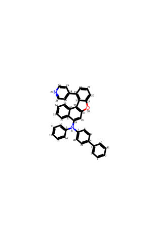 c1ccc(-c2ccc(N(c3ccccc3)c3cc4oc5cccc(-c6ccncc6)c5c4c4ccccc34)cc2)cc1